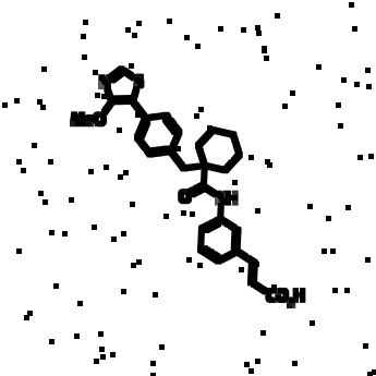 COc1ncsc1-c1ccc(CC2(C(=O)Nc3cccc(/C=C/C(=O)O)c3)CCCCC2)cc1